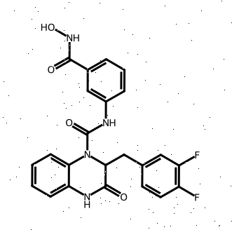 O=C(NO)c1cccc(NC(=O)N2c3ccccc3NC(=O)C2Cc2ccc(F)c(F)c2)c1